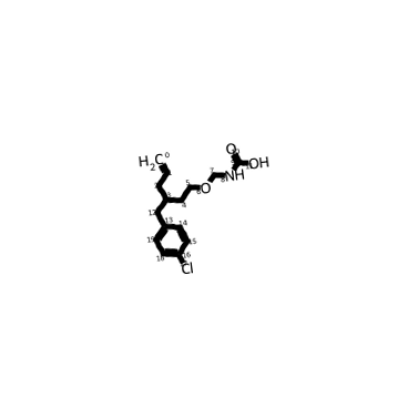 C=CCC(CCOCNC(=O)O)Cc1ccc(Cl)cc1